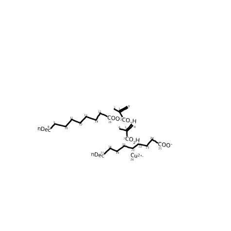 C=C(C)C(=O)O.C=C(C)C(=O)O.CCCCCCCCCCCCCCCCCC(=O)[O-].CCCCCCCCCCCCCCCCCC(=O)[O-].[Cu+2]